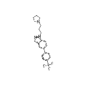 FC(F)(F)c1ccc(-c2ccc3c(cnn3CCCN3CCCC3)c2)cc1